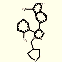 Cc1ccccc1-c1c(-c2ccc3[nH]nc(N)c3c2)nnn1CC1CCOCC1